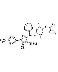 CCCCn1c(C(Sc2cc(C)c(OC(CC)C(=O)O)cc2C)c2ccccc2)nn(-c2ccc(C(F)(F)F)cc2)c1=O